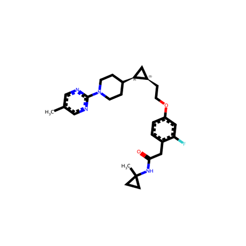 Cc1cnc(N2CCC([C@H]3C[C@H]3CCOc3ccc(CC(=O)NC4(C)CC4)c(F)c3)CC2)nc1